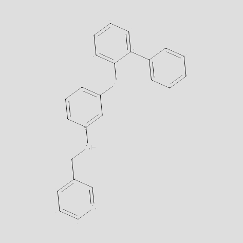 c1ccc(-c2ccccc2Oc2cccc(NCc3cccnc3)c2)cc1